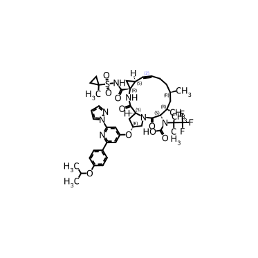 CC(C)Oc1ccc(-c2cc(O[C@@H]3C[C@H]4C(=O)N[C@]5(C(=O)NS(=O)(=O)C6(C)CC6)C[C@H]5/C=C\CC[C@@H](C)C[C@@H](C)[C@H](N(C(=O)O)C(C)(C)C(F)(F)F)C(=O)N4C3)cc(-n3cccn3)n2)cc1